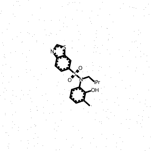 [CH2]c1cccc(N(CC(C)C)S(=O)(=O)c2ccc3ncsc3c2)c1O